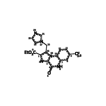 CCOC(=O)c1nc2c(=O)[nH]c3cc(C(F)(F)F)ccc3n2c1Cn1ccnc1